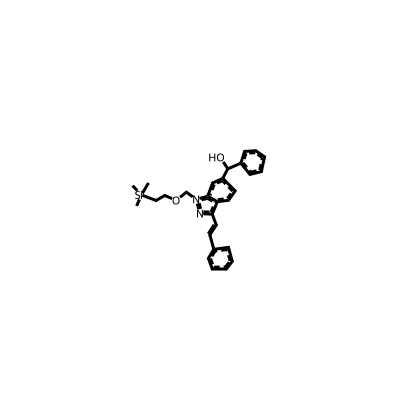 C[Si](C)(C)CCOCn1nc(C=Cc2ccccc2)c2ccc(C(O)c3ccccc3)cc21